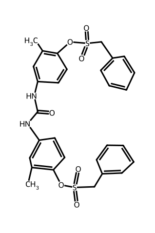 Cc1cc(NC(=O)Nc2ccc(OS(=O)(=O)Cc3ccccc3)c(C)c2)ccc1OS(=O)(=O)Cc1ccccc1